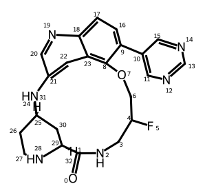 O=C1NCC(F)COc2c(-c3cncnc3)ccc3ncc(cc23)N[C@H]2CCN[C@H]1C2